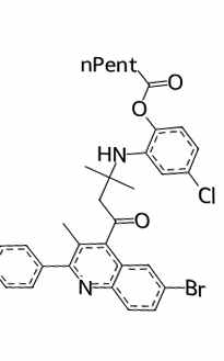 CCCCCC(=O)Oc1ccc(Cl)cc1NC(C)(C)CC(=O)c1c(C)c(-c2ccccc2)nc2ccc(Br)cc12